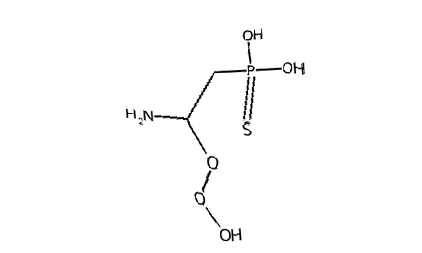 NC(CP(O)(O)=S)OOO